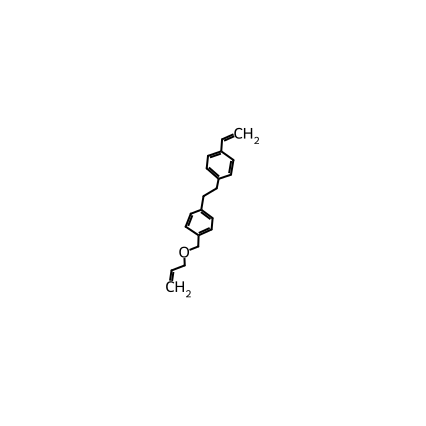 C=CCOCc1ccc(CCc2ccc(C=C)cc2)cc1